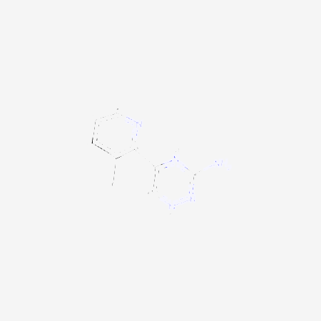 Cc1cccnc1-c1cnnc(N)n1